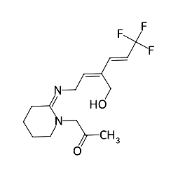 CC(=O)CN1CCCC/C1=N/C/C=C(/C=C/C(F)(F)F)CO